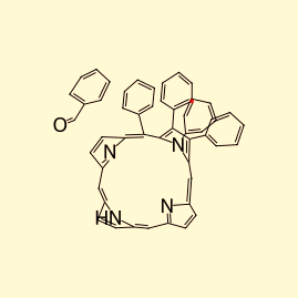 C1=Cc2cc3c(-c4ccccc4)c(-c4ccccc4)c(c(-c4ccccc4)c4nc(cc5ccc(cc1n2)[nH]5)C=C4)n3-c1ccccc1.O=Cc1ccccc1